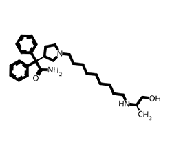 C[C@H](CO)NCCCCCCCCCN1CC[C@H](C(C(N)=O)(c2ccccc2)c2ccccc2)C1